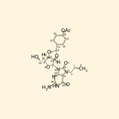 C=CCn1c(=O)n(C2O[C@H](CO)[C@H]3OC(c4ccc(OC(C)=O)cc4)O[C@@H]23)c2nc(N)[nH]c(=O)c21